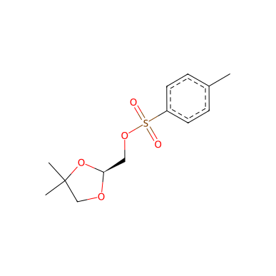 Cc1ccc(S(=O)(=O)OC[C@H]2OCC(C)(C)O2)cc1